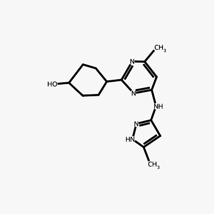 Cc1cc(Nc2cc(C)[nH]n2)nc(C2CCC(O)CC2)n1